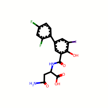 NC(=O)CC(NC(=O)c1cc(-c2ccc(F)cc2F)cc(I)c1O)C(=O)O